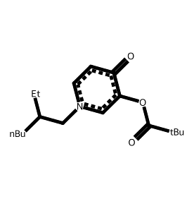 CCCCC(CC)Cn1ccc(=O)c(OC(=O)C(C)(C)C)c1